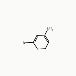 CC1=CCCC(Br)=C1